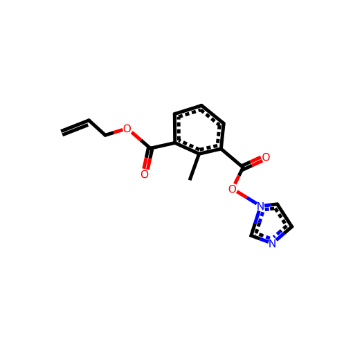 C=CCOC(=O)c1cccc(C(=O)On2ccnc2)c1C